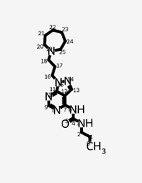 CCCNC(=O)Nc1ncnc2c1cnn2CCCN1CCCCCC1